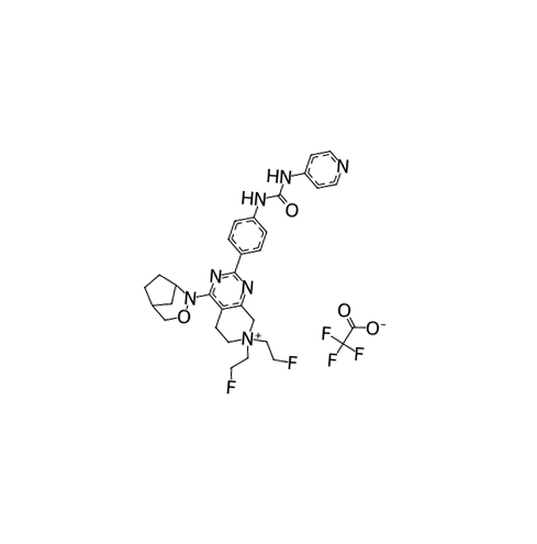 O=C(Nc1ccncc1)Nc1ccc(-c2nc3c(c(N4OCC5CCC4C5)n2)CC[N+](CCF)(CCF)C3)cc1.O=C([O-])C(F)(F)F